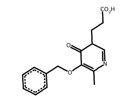 CC1=C(OCc2ccccc2)C(=O)C(CCC(=O)O)C=N1